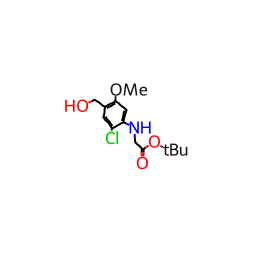 COc1cc(NCC(=O)OC(C)(C)C)c(Cl)cc1CO